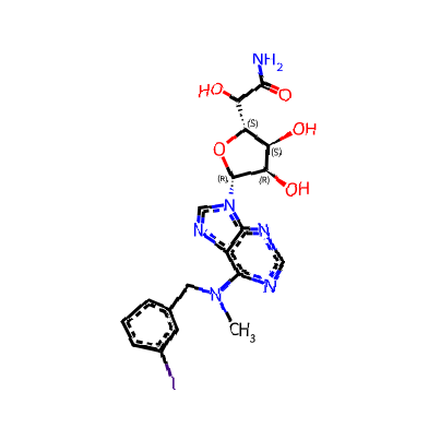 CN(Cc1cccc(I)c1)c1ncnc2c1ncn2[C@@H]1O[C@H](C(O)C(N)=O)[C@@H](O)[C@H]1O